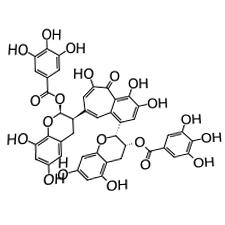 O=C(O[C@@H]1Oc2c(O)cc(O)cc2C[C@@H]1c1cc(O)c(=O)c2c(O)c(O)cc([C@H]3Oc4cc(O)cc(O)c4C[C@H]3OC(=O)c3cc(O)c(O)c(O)c3)c2c1)c1cc(O)c(O)c(O)c1